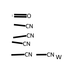 CC#N.CC#N.CC#N.CC#N.CC#N.[C]=O.[W]